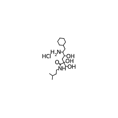 CC(C)CCNC(=O)C(O)(CO)C[C@H](O)[C@@H](N)CC1CCCCC1.Cl